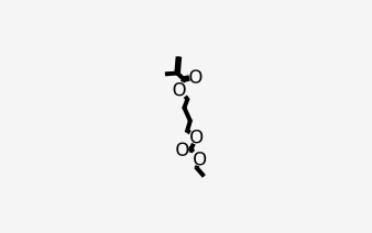 C=C(C)C(=O)OCCCCOC(=O)OCC